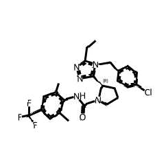 CCc1nnc([C@H]2CCCN2C(=O)Nc2c(C)cc(C(F)(F)F)cc2C)n1Cc1ccc(Cl)cc1